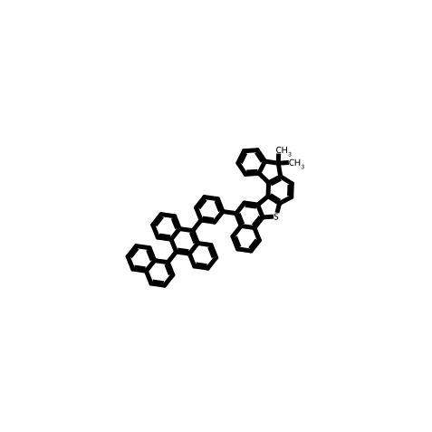 CC1(C)c2ccccc2-c2c1ccc1sc3c4ccccc4c(-c4cccc(-c5c6ccccc6c(-c6cccc7ccccc67)c6ccccc56)c4)cc3c21